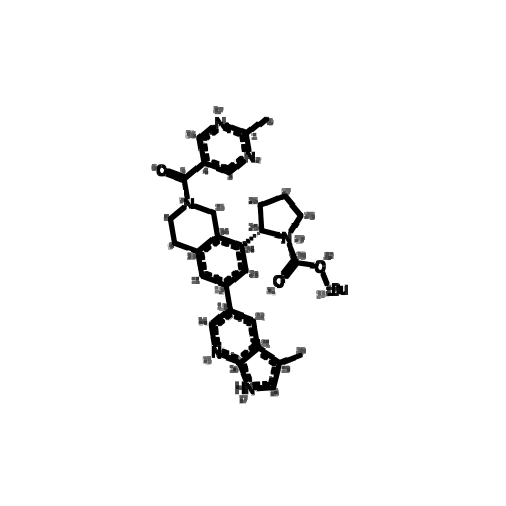 Cc1ncc(C(=O)N2CCc3cc(-c4cnc5[nH]cc(C)c5c4)cc([C@@H]4CCCN4C(=O)OC(C)(C)C)c3C2)cn1